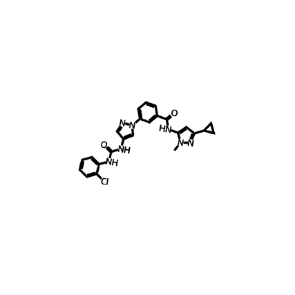 Cn1nc(C2CC2)cc1NC(=O)c1cccc(-n2cc(NC(=O)Nc3ccccc3Cl)cn2)c1